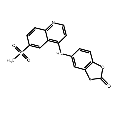 CS(=O)(=O)c1ccc2nccc(Nc3ccc4oc(=O)sc4c3)c2c1